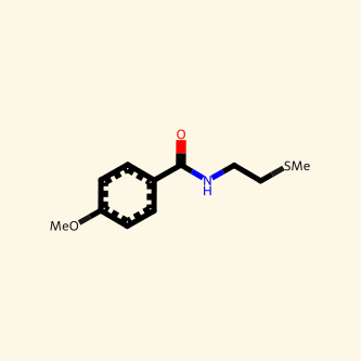 COc1ccc(C(=O)NCCSC)cc1